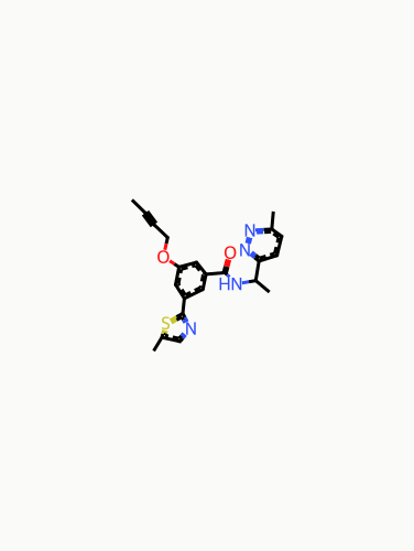 CC#CCOc1cc(C(=O)NC(C)c2ccc(C)nn2)cc(-c2ncc(C)s2)c1